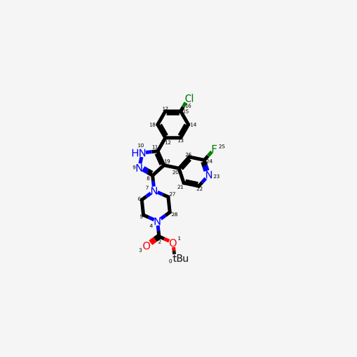 CC(C)(C)OC(=O)N1CCN(c2n[nH]c(-c3ccc(Cl)cc3)c2-c2ccnc(F)c2)CC1